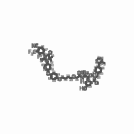 Cc1ncsc1-c1ccc(CNC(=O)[C@@H]2C[C@@H](O)CN2C(=O)[C@@H](NC(=O)COCCCCOc2ccc(Oc3ccc(N4C(=S)N(c5ccc(C#N)c(C(F)(F)F)c5F)C(=O)C4(C)C)cn3)cc2)C(C)(C)C)cc1